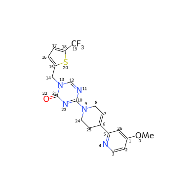 COc1ccnc(C2=CCN(c3ncn(Cc4ccc(C(F)(F)F)s4)c(=O)n3)CC2)c1